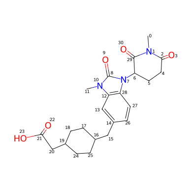 CN1C(=O)CCC(n2c(=O)n(C)c3cc(CC4CCC(CC(=O)O)CC4)ccc32)C1=O